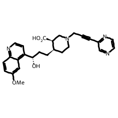 COc1ccc2nccc([C@@H](O)CC[C@@H]3CCN(CC#Cc4cnccn4)C[C@@H]3C(=O)O)c2c1